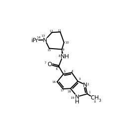 Cc1nc2cc(C(=O)N[C@@H]3CCCN(C(C)C)C3)ccc2[nH]1